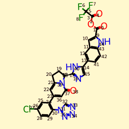 O=C(OC(=O)C(F)(F)F)c1cc2cc(-c3cnc([C@@H]4CCc5cc(-c6cc(Cl)ccc6-n6cnnn6)cc(=O)n54)[nH]3)ccc2[nH]1